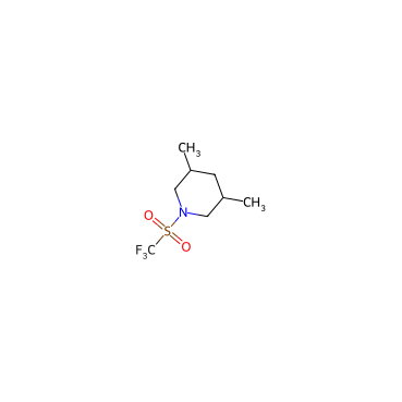 CC1CC(C)CN(S(=O)(=O)C(F)(F)F)C1